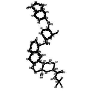 Cc1cc(Nc2ncnc3cc4c(nc23)N2CCN(C(=O)OC(C)(C)C)C[C@H]2CO4)ccc1Oc1cc2ncn(C)c2cn1